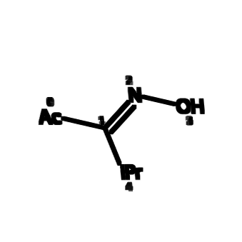 CC(=O)C(=NO)C(C)C